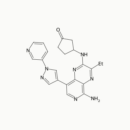 CCc1nc2c(N)ncc(-c3cnn(-c4cccnc4)c3)c2nc1NC1CCC(=O)C1